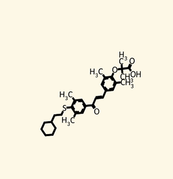 Cc1cc(C=CC(=O)c2cc(C)c(SCCC3CCCCC3)c(C)c2)cc(C)c1OC(C)(C)C(=O)O